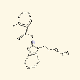 COCCn1/c(=N/C(=O)c2ccccc2I)sc2ccccc21